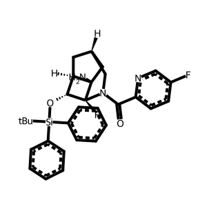 CC(C)(C)[Si](O[C@@H]1[C@H]2C[C@H]3CN(C(=O)c4ccc(F)cn4)[C@H]1C2(N)C3)(c1ccccc1)c1ccccc1